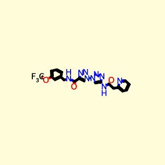 O=C(Cc1ccccn1)Nc1cn(-n2cc(C(=O)NCc3cccc(OC(F)(F)F)c3)nn2)nn1